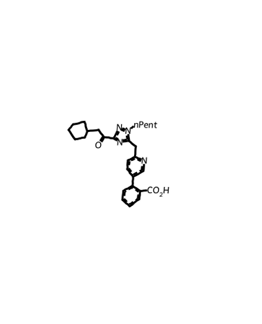 CCCCCn1nc(C(=O)CC2CCCCC2)nc1Cc1ccc(-c2ccccc2C(=O)O)cn1